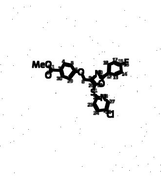 COC(=O)c1ccc(OCc2nc(-c3ccc(F)cc3)oc2Sc2ccc(Cl)cn2)cc1